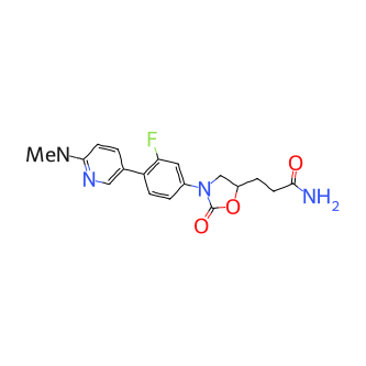 CNc1ccc(-c2ccc(N3CC(CCC(N)=O)OC3=O)cc2F)cn1